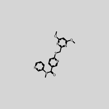 COc1cc(OC)nc(CSc2ccc(C(=O)N(C)c3cccnc3)cn2)n1